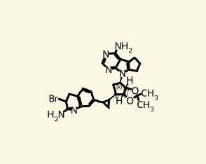 CC1(C)O[C@@H]2[C@H](O1)[C@@H](C1CC1c1ccc3c(c1)N=C(N)C(Br)C3)C[C@H]2n1c2c(c3c(N)ncnc31)CCC2